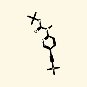 CN(C(=O)OC(C)(C)C)c1ccc(C#C[Si](C)(C)C)cn1